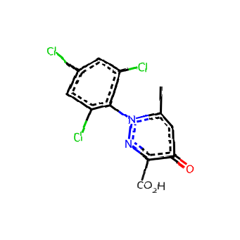 Cc1cc(=O)c(C(=O)O)nn1-c1c(Cl)cc(Cl)cc1Cl